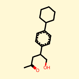 CC(=O)CC(CO)c1ccc(C2CCCCC2)cc1